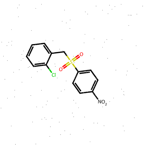 O=[N+]([O-])c1ccc(S(=O)(=O)Cc2ccccc2Cl)cc1